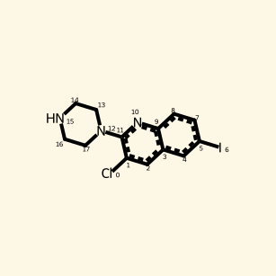 Clc1cc2cc(I)ccc2nc1N1CCNCC1